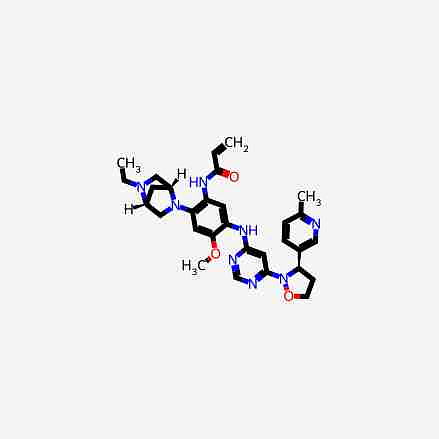 C=CC(=O)Nc1cc(Nc2cc(N3OCC[C@@H]3c3ccc(C)nc3)ncn2)c(OC)cc1N1C[C@H]2C[C@@H]1CN2CC